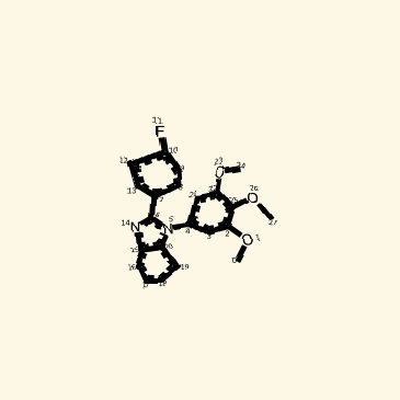 COc1cc(-n2c(-c3ccc(F)cc3)nc3ccccc32)cc(OC)c1OC